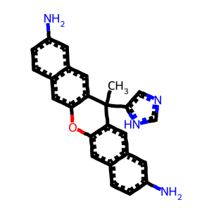 CC1(c2cnc[nH]2)c2cc3cc(N)ccc3cc2Oc2cc3ccc(N)cc3cc21